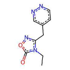 CCn1c(Cc2ccnnc2)noc1=O